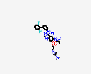 C=CC(=O)Nc1cc2c(Nc3cccc(-c4c(F)cccc4F)c3)ncnc2cc1OCCCN1CC(N(C)C)C1